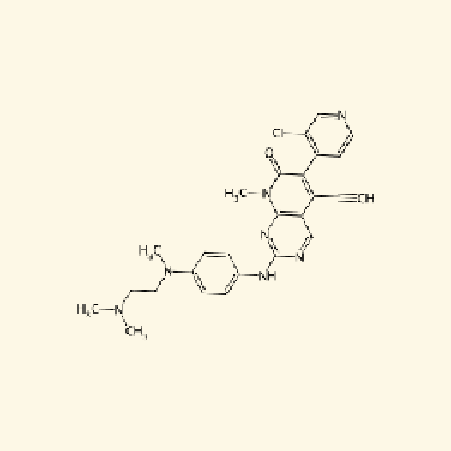 C#Cc1c(-c2ccncc2Cl)c(=O)n(C)c2nc(Nc3ccc(N(C)CCN(C)C)cc3)ncc12